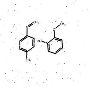 C=Nc1ccc(C)cc1.COc1ccccc1O